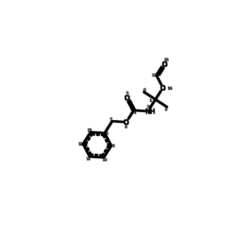 CC(C)(NC(=O)OCc1ccccc1)OC=O